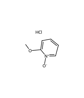 COc1cccc[n+]1[O-].Cl